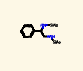 CSNCC(NSC)c1ccccc1